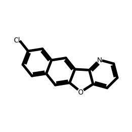 Clc1ccc2cc3oc4cccnc4c3cc2c1